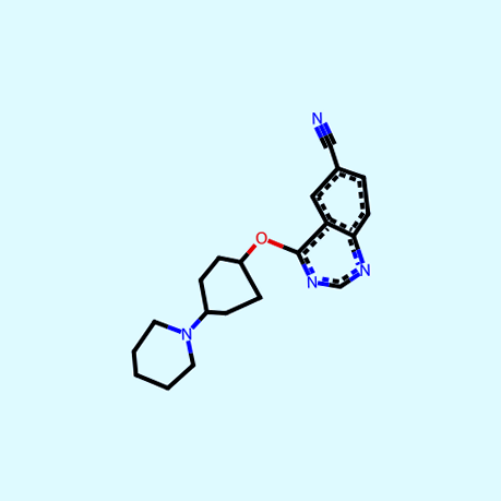 N#Cc1ccc2ncnc(OC3CCC(N4CCCCC4)CC3)c2c1